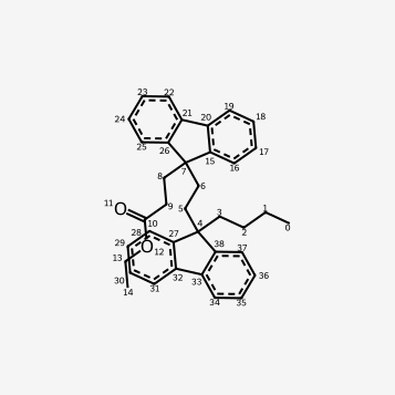 CCCCC1(CCC2(CCC(=O)OCC)c3ccccc3-c3ccccc32)c2ccccc2-c2ccccc21